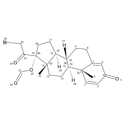 C[C@]12C=CC(=O)C=C1CC[C@@H]1[C@@H]2CC[C@@]2(C)[C@H]1CC[C@]2(OC=O)C(=O)CBr